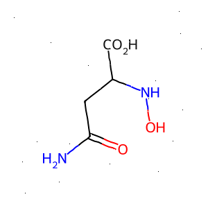 NC(=O)CC(NO)C(=O)O